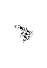 C=C.CC(C)[O-].CC(C)[O-].CC(C)[O-].[Al+3]